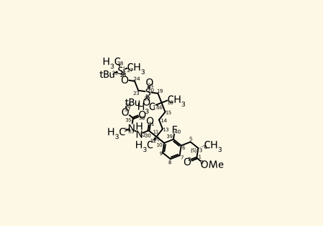 COC(=O)[C@@H](C)Cc1cccc([C@@](C)(CCCC(C)(C)CS(=O)(=O)CCO[Si](C)(C)C(C)(C)C)C(=O)NN(C)C(=O)OC(C)(C)C)c1F